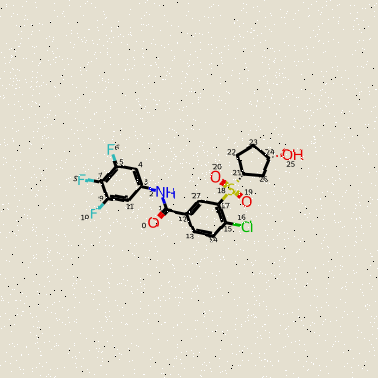 O=C(Nc1cc(F)c(F)c(F)c1)c1ccc(Cl)c(S(=O)(=O)[C@@H]2CC[C@H](O)C2)c1